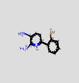 Nc1ccc(-c2ccccc2S)nc1N